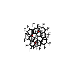 CCc1c(F)c(F)c(F)c2c(F)c(F)c(F)c([B-](c3c(F)c(F)c(F)c4c(F)c(F)c(F)c(CC)c34)(c3c(F)c(F)c(F)c4c(F)c(F)c(F)c(CC)c34)c3c(F)c(F)c(F)c4c(F)c(F)c(F)c(CC)c34)c12